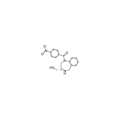 O=C(c1ccc([N+](=O)[O-])cc1)N1C[C@@H](CO)NCc2ccccc21